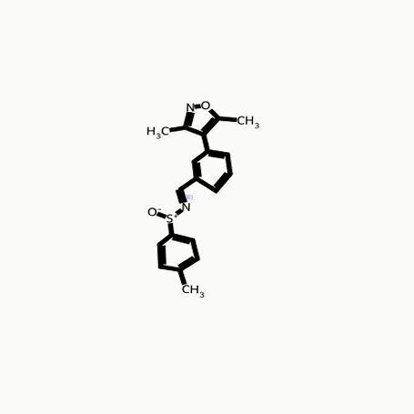 Cc1ccc([S+]([O-])/N=C/c2cccc(-c3c(C)noc3C)c2)cc1